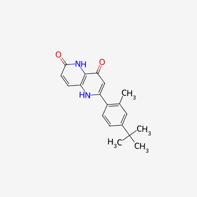 Cc1cc(C(C)(C)C)ccc1-c1cc(=O)c2[nH]c(=O)ccc2[nH]1